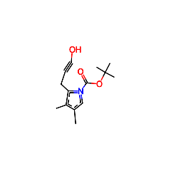 Cc1cn(C(=O)OC(C)(C)C)c(CC#CO)c1C